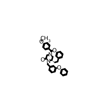 COc1ccc(C(=O)N2CC(=O)N(Cc3cccc(Oc4ccccc4)c3)[C@@H](CCc3ccccc3)C2)cc1